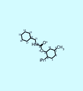 CC1CCC(C(C)C)C(OC(=O)NCC2CCCCC2)C1